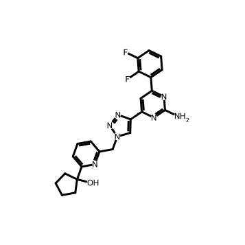 Nc1nc(-c2cn(Cc3cccc(C4(O)CCCC4)n3)nn2)cc(-c2cccc(F)c2F)n1